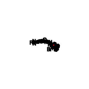 O=C(CN1CCC(C2=NC3=CC4=C(Br)NN(C(c5ccccc5)(c5ccccc5)c5ccccc5)C4=CC3C=N2)C1)N1CCN(c2ccc(-c3ncc(F)cn3)cc2)CC1